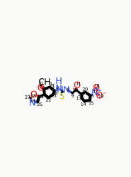 COc1cc(NC(=S)NCC(=O)c2cccc([N+](=O)[O-])c2)ccc1-c1cnco1